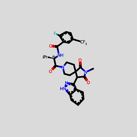 CC(C)[C@@H](NC(=O)c1cc(C(F)(F)F)ccc1F)C(=O)N1CCC2(CC1)C(=O)N(C)C(=O)C2c1n[nH]c2ccccc12